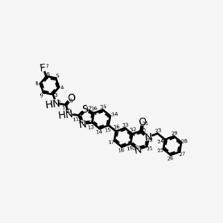 O=C(Nc1ccc(F)cc1)Nc1nc2cc(-c3ccc4ncn(Cc5ccccc5)c(=O)c4c3)ccc2s1